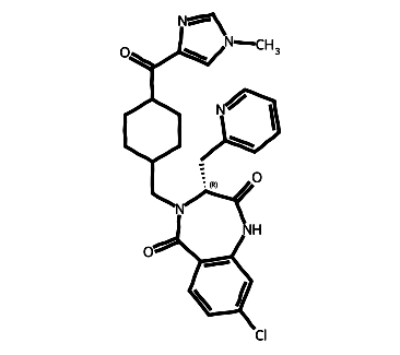 Cn1cnc(C(=O)C2CCC(CN3C(=O)c4ccc(Cl)cc4NC(=O)[C@H]3Cc3ccccn3)CC2)c1